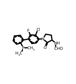 CP(C)c1ccccc1-c1ccc(N2CCC(NC=O)C2=O)c(Cl)c1F